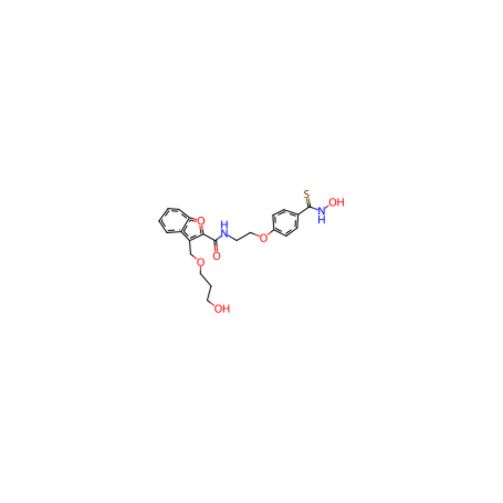 O=C(NCCOc1ccc(C(=S)NO)cc1)c1oc2ccccc2c1COCCCO